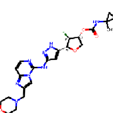 CC1(NC(=O)O[C@@H]2CO[C@H](c3cc(Nc4nccc5nc(CN6CCOCC6)cn45)n[nH]3)[C@H]2F)CC1